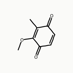 COC1=C(C)C(=O)C=CC1=O